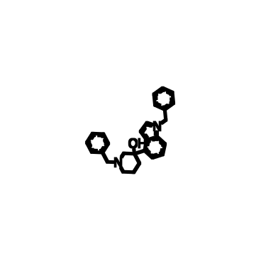 OC1(c2cccc3c2ccn3Cc2ccccc2)CCCN(Cc2ccccc2)C1